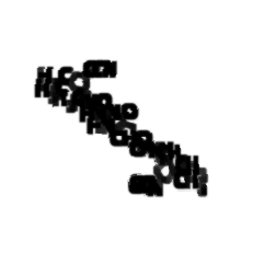 Cc1[nH]c(NC(=O)NCC2(C)CC(OC#N)CC(C)(C)C2)nc(=O)c1CCOC(=O)NCC1(C)CC(N=C=O)CC(C)(C)C1